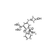 CCCCN(CCCC)c1cc(CN2CC(O)C2)cc(S(N)(=O)=O)c1Oc1ccccc1